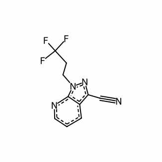 N#Cc1nn(CCC(F)(F)F)c2ncccc12